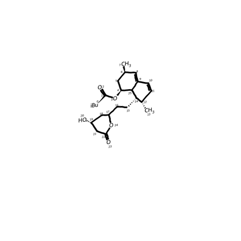 CC[C@H](C)C(=O)O[C@H]1C[C@@H](C)C=C2C=C[C@H](C)[C@H](CCC3C[C@@H](O)CC(=O)O3)C21